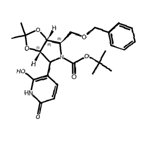 CC(C)(C)OC(=O)N1C(c2ccc(=O)[nH]c2O)[C@@H]2OC(C)(C)O[C@@H]2[C@H]1COCc1ccccc1